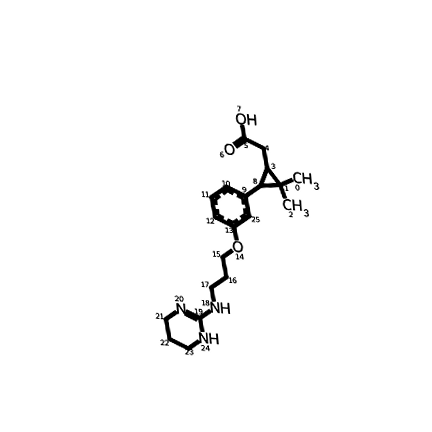 CC1(C)C(CC(=O)O)C1c1cccc(OCCCNC2=NCCCN2)c1